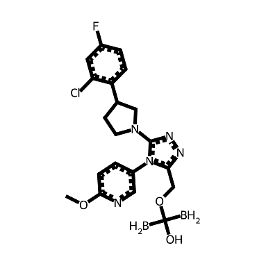 BC(B)(O)OCc1nnc(N2CCC(c3ccc(F)cc3Cl)C2)n1-c1ccc(OC)nc1